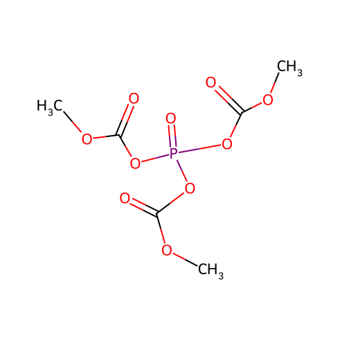 COC(=O)OP(=O)(OC(=O)OC)OC(=O)OC